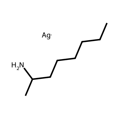 CCCCCCC(C)N.[Ag]